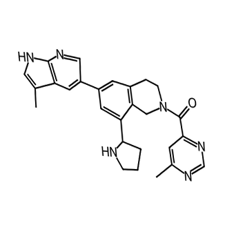 Cc1cc(C(=O)N2CCc3cc(-c4cnc5[nH]cc(C)c5c4)cc(C4CCCN4)c3C2)ncn1